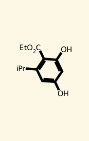 CCOC(=O)c1c(O)cc(O)cc1C(C)C